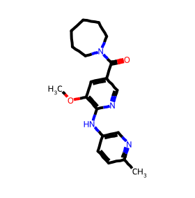 COc1cc(C(=O)N2CCCCCC2)cnc1Nc1ccc(C)nc1